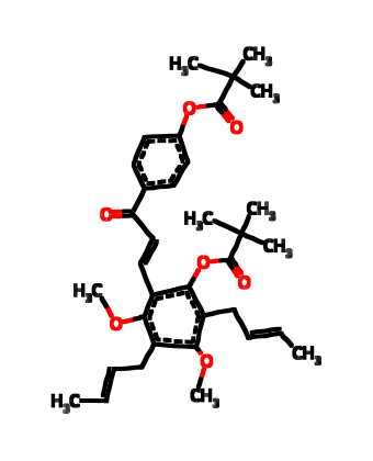 CC=CCc1c(OC)c(C=CC(=O)c2ccc(OC(=O)C(C)(C)C)cc2)c(OC(=O)C(C)(C)C)c(CC=CC)c1OC